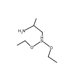 CCO[SiH](CC(C)N)OCC